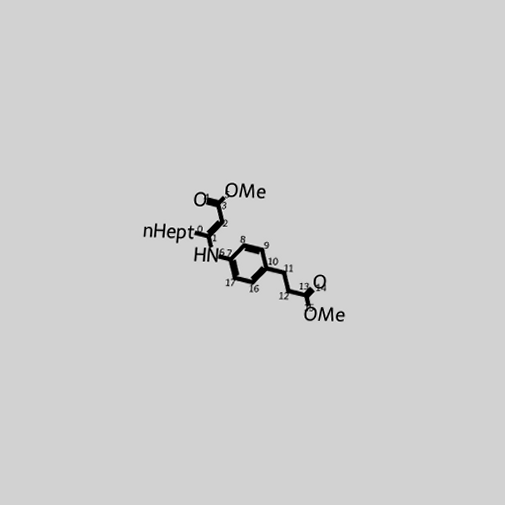 CCCCCCCC(=CC(=O)OC)Nc1ccc(CCC(=O)OC)cc1